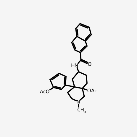 CC(=O)Oc1cccc(C23CCN(C)CC2(OC(C)=O)CCC(NC(=O)c2ccc4ccccc4c2)C3)c1